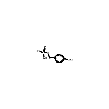 CC(=O)Oc1ccc(COP(=O)(O)O)cc1